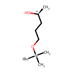 C[C@H](O)CCCO[Si](C)(C)C(C)(C)C